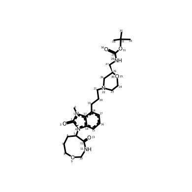 Cn1c(=O)n(C2CCCOCNC2=O)c2cccc(CCCN3CCO[C@H](CNC(=O)OC(C)(C)C)C3)c21